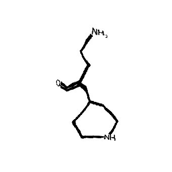 NCCC(=O)C1CCNCC1